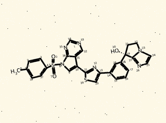 Cc1ccc(S(=O)(=O)n2cc(-c3nc(-c4cccc([C@@]5(O)CCn6ccnc65)c4)cs3)c3cncnc32)cc1